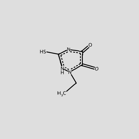 CCn1[nH]c(S)nc(=O)c1=O